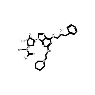 CCCN(C(=O)C(F)(F)F)[C@H]1C[C@@H](n2cnc3c(NC[C@H](O)Cc4ccccc4)nc(NCCN4CCCCC4)nc32)[C@H](O)[C@@H]1O